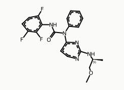 COC[C@H](C)Nc1nccc(N(C(=O)Nc2c(F)ccc(F)c2F)c2ccccc2)n1